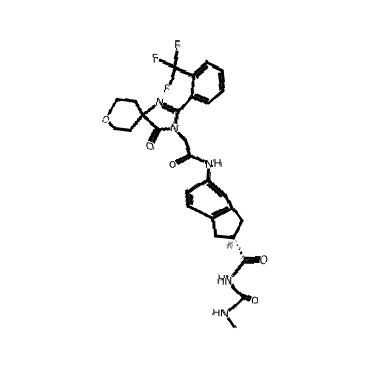 CNC(=O)NC(=O)[C@@H]1Cc2ccc(NC(=O)CN3C(=O)C4(CCOCC4)N=C3c3ccccc3C(F)(F)F)cc2C1